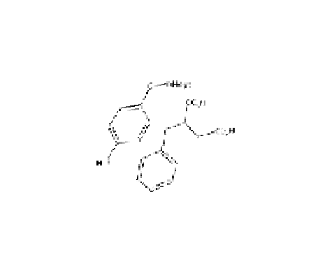 CCCCCCCOc1ccc(O)cc1.O=C(O)CC(Cc1ccccc1)C(=O)O